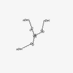 CCCCCCCCCCCCCCCCCCOC(=O)CCCCCOP(=S)(SCCCCCC(=O)OCCCCCCCCCCCCCCCCCC)SCCCCCC(=O)OCCCCCCCCCCCCCCCCCC